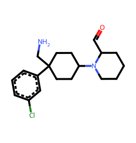 NCC1(c2cccc(Cl)c2)CCC(N2CCCCC2C=O)CC1